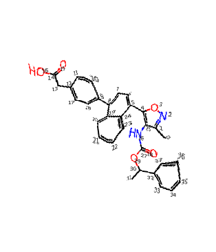 Cc1noc(-c2ccc(-c3ccc(CC(=O)O)cc3)c3ccccc23)c1NC(=O)OC(C)c1ccccc1